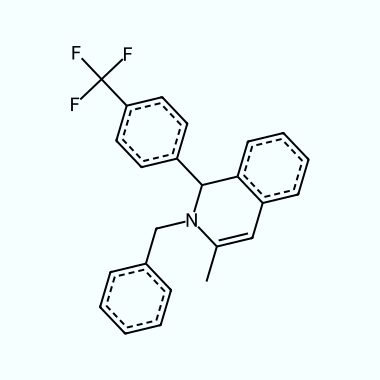 CC1=Cc2ccccc2C(c2ccc(C(F)(F)F)cc2)N1Cc1ccccc1